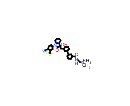 CN(C)CCNC(=O)c1cccc(-c2cccc(CC(O)(C(=O)Nc3ccc(C#N)c(C(F)(F)F)c3)C3CCCCC3)c2)c1